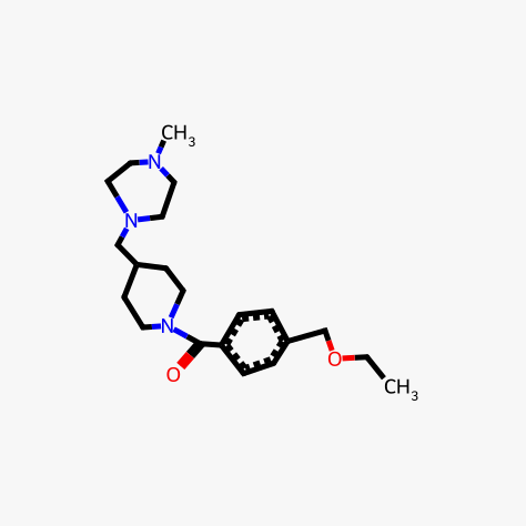 CCOCc1ccc(C(=O)N2CCC(CN3CCN(C)CC3)CC2)cc1